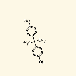 [CH2]C([CH2])(c1ccc(O)cc1)c1ccc(O)cc1